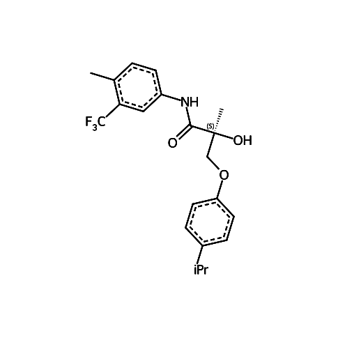 Cc1ccc(NC(=O)[C@@](C)(O)COc2ccc(C(C)C)cc2)cc1C(F)(F)F